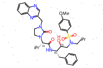 COc1ccc(S(=O)(=O)N(CC(C)C)C[C@H](O)[C@H](Cc2ccccc2)NC(=O)[C@H](C(C)C)N2CCN(Cc3cnc4ccccc4n3)C2=O)cc1